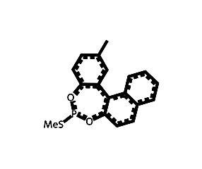 CSp1oc2ccc(C)cc2c2c(ccc3ccccc32)o1